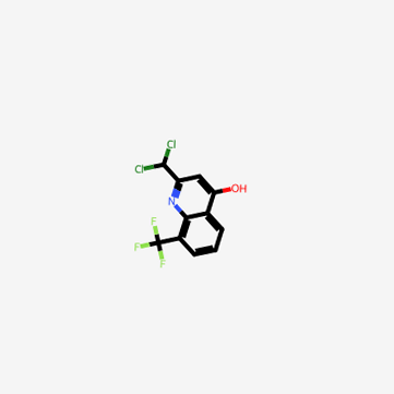 Oc1cc(C(Cl)Cl)nc2c(C(F)(F)F)cccc12